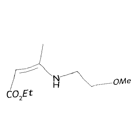 CCOC(=O)C=C(C)NCCOC